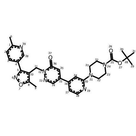 Cc1ccc(-c2noc(C)c2Cn2ncc(-c3ccnc(N4CCN(C(=O)OC(C)(C)C)CC4)c3)cc2=O)cn1